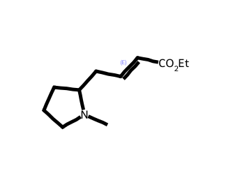 CCOC(=O)/C=C/CC1CCCN1C